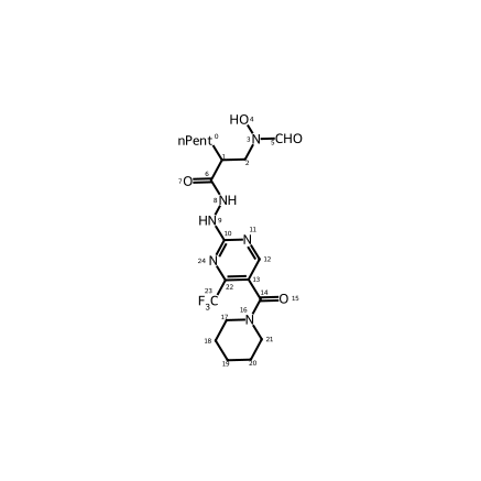 CCCCCC(CN(O)C=O)C(=O)NNc1ncc(C(=O)N2CCCCC2)c(C(F)(F)F)n1